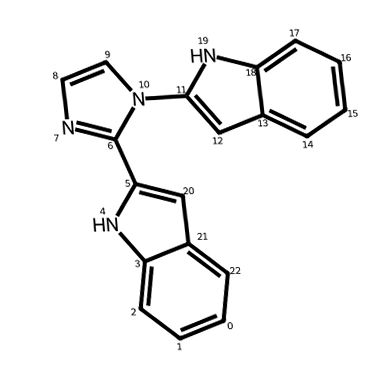 c1ccc2[nH]c(-c3nccn3-c3cc4ccccc4[nH]3)cc2c1